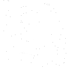 CC(O)CSCCCCO